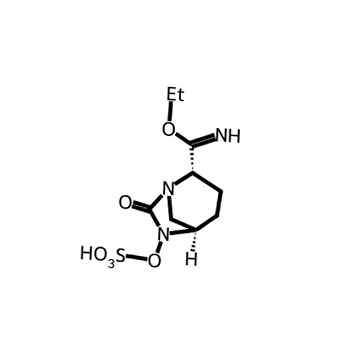 CCOC(=N)[C@@H]1CC[C@@H]2CN1C(=O)N2OS(=O)(=O)O